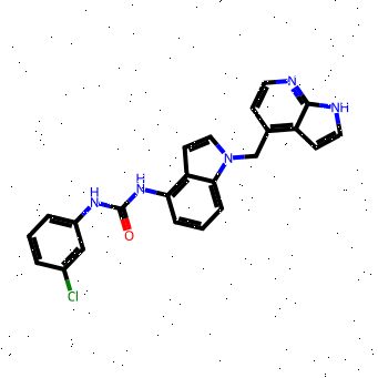 O=C(Nc1cccc(Cl)c1)Nc1cccc2c1ccn2Cc1ccnc2[nH]ccc12